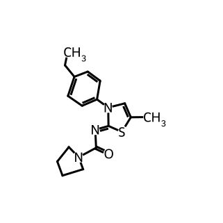 CCc1ccc(-n2cc(C)sc2=NC(=O)N2CCCC2)cc1